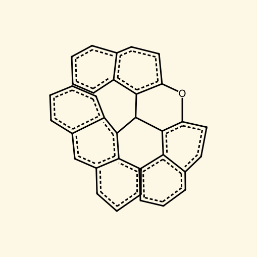 c1ccc2c3c(ccc2c1)Oc1ccc2ccccc2c1C3c1c2ccccc2cc2ccccc12